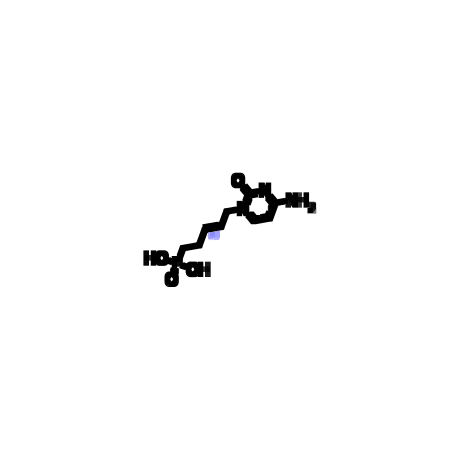 Nc1ccn(C/C=C/CCP(=O)(O)O)c(=O)n1